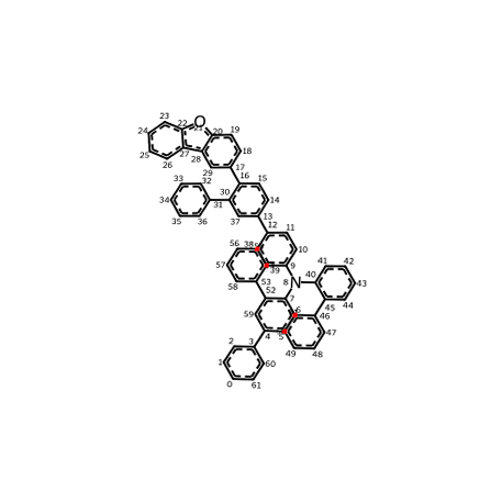 c1ccc(-c2ccc(N(c3ccc(-c4ccc(-c5ccc6oc7ccccc7c6c5)c(-c5ccccc5)c4)cc3)c3ccccc3-c3ccccc3)c(-c3ccccc3)c2)cc1